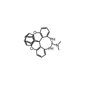 CN(C)P1Pc2cccc3c2C2(c4ccccc4O3)c3ccccc3Oc3cccc(c32)P1